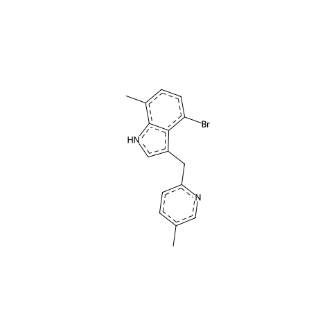 Cc1ccc(Cc2c[nH]c3c(C)ccc(Br)c23)nc1